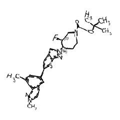 Cc1cc(-c2cc3cn([C@@H]4CCN(C(=O)OC(C)(C)C)C[C@@H]4F)nc3s2)cc2cn(C)nc12